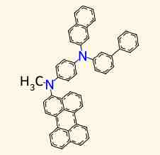 CN(c1ccc(N(c2cccc(-c3ccccc3)c2)c2ccc3ccccc3c2)cc1)c1ccc2c3cccc4cccc(c5cccc1c52)c43